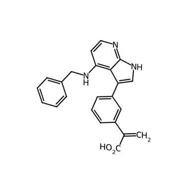 C=C(C(=O)O)c1cccc(-c2c[nH]c3nccc(NCc4ccccc4)c23)c1